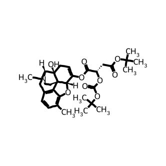 Cc1ccc2c3c1O[C@H]1C(OC(=O)[C@H](CC(=O)OC(C)(C)C)OC(=O)OC(C)(C)C)=CC[C@@]4(O)[C@@H](C2)N(C)CC[C@]314